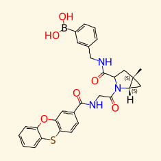 C[C@]12CC(C(=O)NCc3cccc(B(O)O)c3)N(C(=O)CNC(=O)c3ccc4c(c3)Oc3ccccc3S4)[C@H]1C2